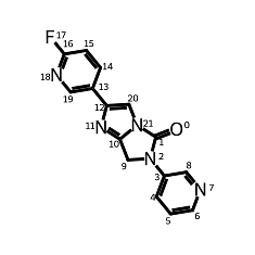 O=C1N(c2cccnc2)Cc2nc(-c3ccc(F)nc3)cn21